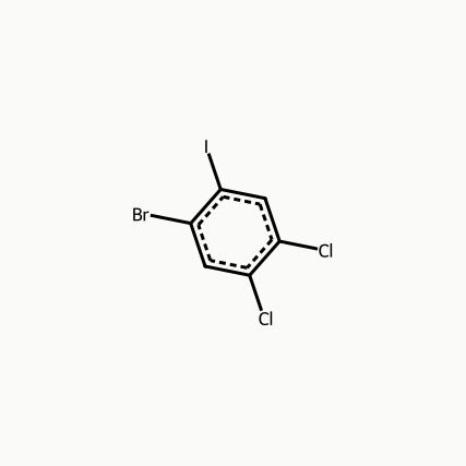 Clc1cc(Br)c(I)cc1Cl